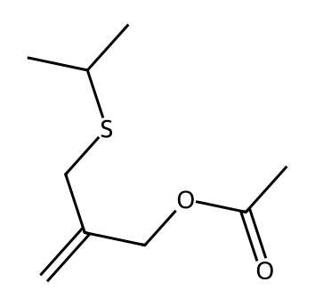 C=C(COC(C)=O)CSC(C)C